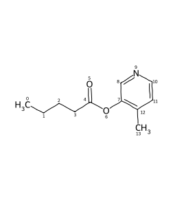 CCCCC(=O)Oc1cnccc1C